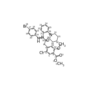 COC(=O)c1cc(Cl)c(CC(=O)N(Nc2ccc(Br)cc2)c2ccccc2N2CCCCC2)cc1OC